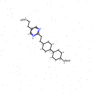 CCCCCCCCCCCCc1cnc(CCC2CCC(C3CCC(CCCCC)CC3)CC2)nc1